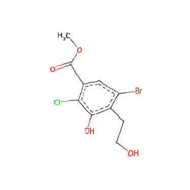 COC(=O)c1cc(Br)c(CCO)c(O)c1Cl